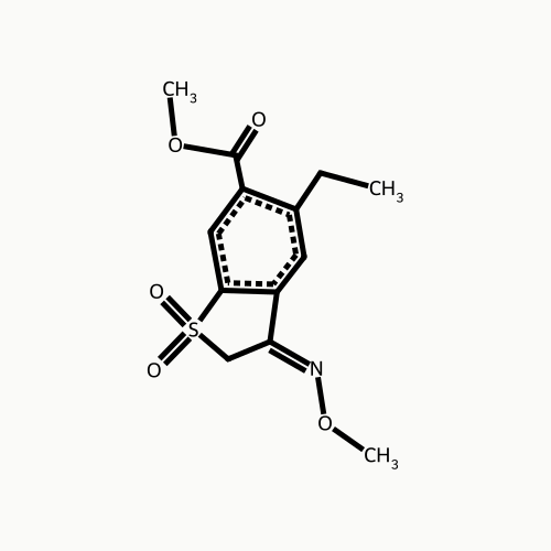 CCc1cc2c(cc1C(=O)OC)S(=O)(=O)C/C2=N\OC